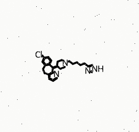 Clc1ccc2c(c1)CCc1cccnc1C2=C1CCN(CCCCCc2c[nH]cn2)CC1